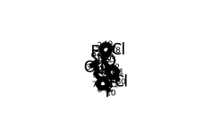 C[C@H](C(=O)NCc1ccc(F)c(F)c1)N(c1cc(Cl)ccc1F)S(=O)(=O)c1ccc(Cl)cc1